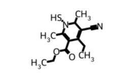 CCOC(=O)C1=C(C)N(S)C(C)C(C#N)=C1CC